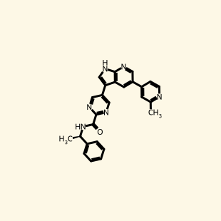 Cc1cc(-c2cnc3[nH]cc(-c4cnc(C(=O)N[C@H](C)c5ccccc5)nc4)c3c2)ccn1